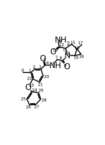 Cc1cc(C(=O)NCC(=O)N2C(C(N)=O)CC3(C)CC23)ccc1Oc1ccccc1